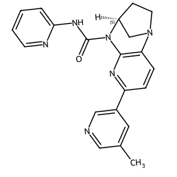 Cc1cncc(-c2ccc3c(n2)N(C(=O)Nc2ccccn2)[C@H]2CCN3C2)c1